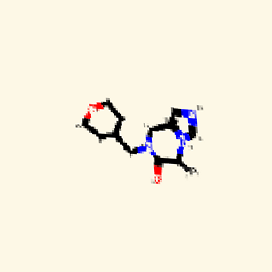 CC(C)C1C(=O)N(CC2CCOCC2)Cc2cncn21